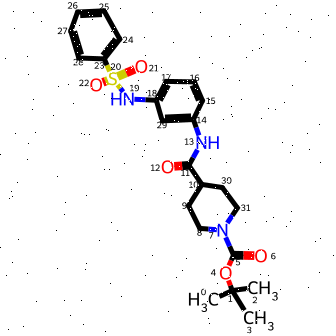 CC(C)(C)OC(=O)N1CCC(C(=O)Nc2cccc(NS(=O)(=O)c3ccccc3)c2)CC1